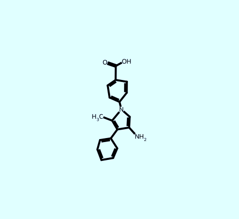 Cc1c(-c2ccccc2)c(N)cn1-c1ccc(C(=O)O)cc1